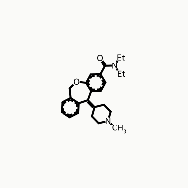 CCN(CC)C(=O)c1ccc2c(c1)OCc1ccccc1C2=C1CCN(C)CC1